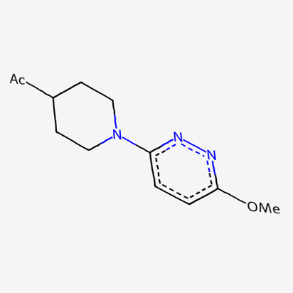 COc1ccc(N2CCC(C(C)=O)CC2)nn1